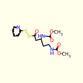 COC(=O)NCCC(CC(=O)SSc1ccccn1)NC(=O)OC